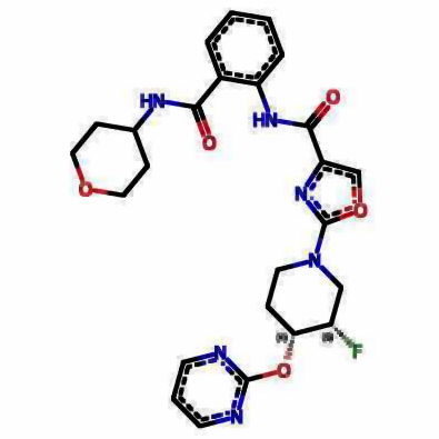 O=C(Nc1ccccc1C(=O)NC1CCOCC1)c1coc(N2CC[C@@H](Oc3ncccn3)[C@@H](F)C2)n1